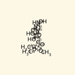 CCOCC(COC)(COCC)C(=O)OC[C@H]1O[C@@H](n2ccc(NO)nc2=O)[C@H](O)[C@@H]1O